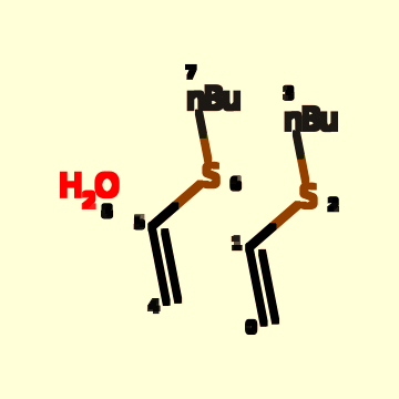 C=CSCCCC.C=CSCCCC.O